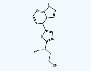 CCC[C@@H](CCC#N)c1ncc(C2N=CN=C3NC=CC32)s1